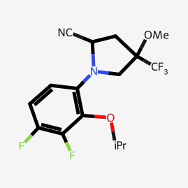 COC1(C(F)(F)F)CC(C#N)N(c2ccc(F)c(F)c2OC(C)C)C1